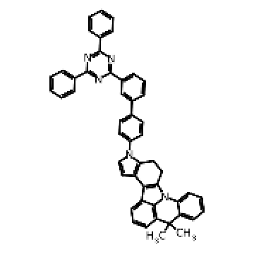 CC1(C)c2ccccc2-n2c3c(c4cccc1c42)-c1ccn(-c2ccc(-c4cccc(-c5nc(-c6ccccc6)nc(-c6ccccc6)n5)c4)cc2)c1CC3